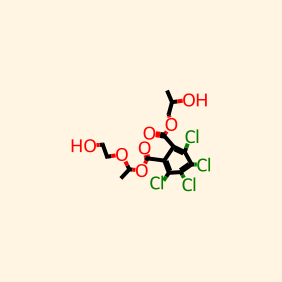 CC(O)COC(=O)c1c(Cl)c(Cl)c(Cl)c(Cl)c1C(=O)OC(C)OCCO